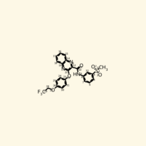 CS(=O)(=O)c1cccc(NC(=O)c2nc3ccccc3nc2Oc2ccc(OCC(F)(F)F)cc2)c1